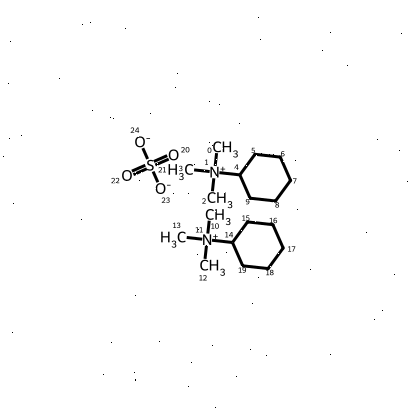 C[N+](C)(C)C1CCCCC1.C[N+](C)(C)C1CCCCC1.O=S(=O)([O-])[O-]